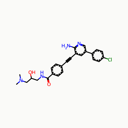 CN(C)CC(O)CNC(=O)c1ccc(C#Cc2cc(-c3ccc(Cl)cc3)cnc2N)cc1